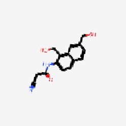 N#CCC(=O)Nc1ccc2ccc(CO)cc2c1CO